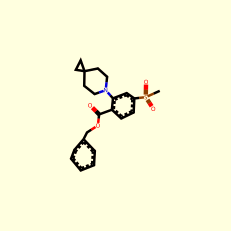 CS(=O)(=O)c1ccc(C(=O)OCc2ccccc2)c(N2CCC3(CC2)CC3)c1